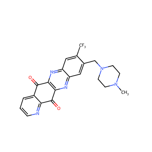 CN1CCN(Cc2cc3nc4c(nc3cc2C(F)(F)F)C(=O)c2cccnc2C4=O)CC1